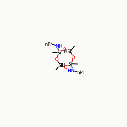 CCCN[Si]1(C)O[SiH](C)O[Si](C)(NCCC)O[SiH](C)O1